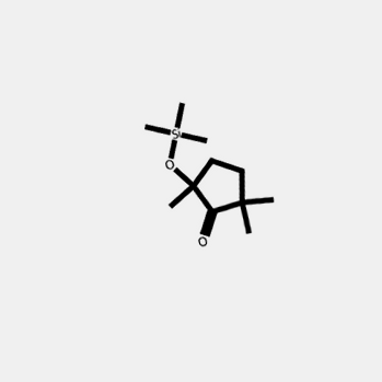 CC1(C)CCC(C)(O[Si](C)(C)C)C1=O